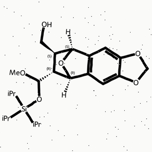 COC(O[Si](C(C)C)(C(C)C)C(C)C)[C@@H]1[C@@H](CO)[C@@H]2O[C@H]1c1cc3c(cc12)OCO3